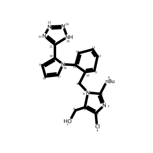 CCCCc1nc(Cl)c(CO)n1Cc1ccccc1-n1cccc1-c1nnn[nH]1